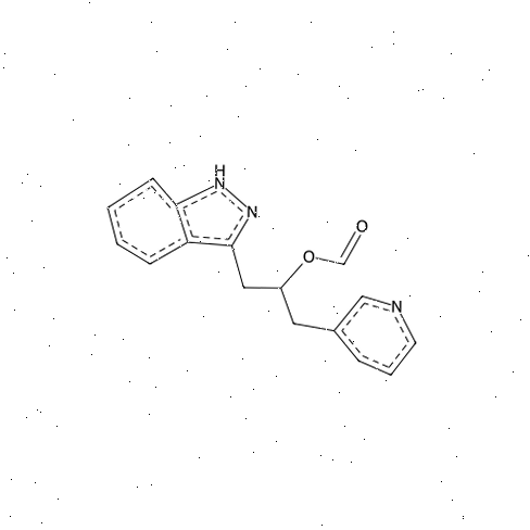 O=COC(Cc1cccnc1)Cc1n[nH]c2ccccc12